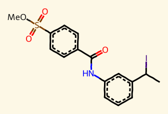 COS(=O)(=O)c1ccc(C(=O)Nc2cccc(C(C)I)c2)cc1